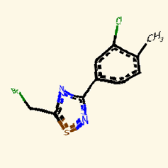 Cc1ccc(-c2nsc(CBr)n2)cc1Cl